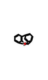 c1cc2c3nc(sc3c1)-c1ccc-2cc1